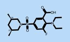 CCN(CC)c1c(F)cc(S(=O)(=O)N2C[C@H](C)C[C@H](C)C2)cc1C(=O)O